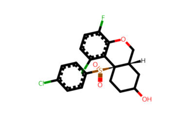 O=S(=O)(c1ccc(Cl)cc1)[C@]12CCC(O)C[C@H]1COc1c(F)ccc(F)c12